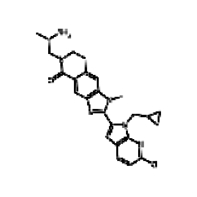 CC(N)CN1CCc2cc3c(cc2C1=O)nc(-c1cc2ccc(Cl)nc2n1CC1CC1)n3C